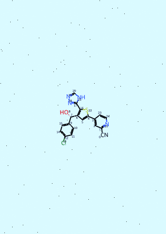 N#Cc1cc(-c2cc([C@@H](O)c3ccc(Cl)cc3)c(-c3nnc[nH]3)s2)ccn1